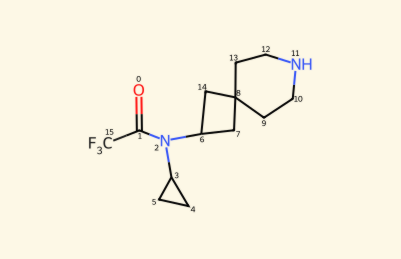 O=C(N(C1CC1)C1CC2(CCNCC2)C1)C(F)(F)F